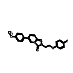 O=c1n(CCOc2ccc(F)cc2)nc2ccc(-c3ccc(OC(F)(F)F)cc3)cn12